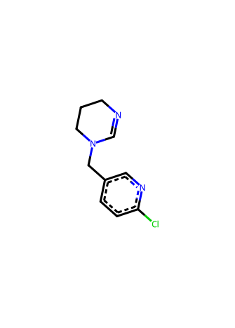 Clc1ccc(CN2C=NCCC2)cn1